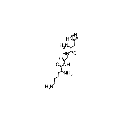 NCCCC[C@H](N)C(=O)NC(=O)CNC(=O)[C@@H](N)Cc1cnc[nH]1